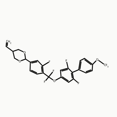 C=CC1COC(c2ccc(C(F)(F)Oc3cc(F)c(-c4ccc(OC(F)(F)F)cc4)c(F)c3)c(F)c2)OC1